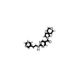 O=C(c1cnc(NCCc2cncnc2)nc1)N1CCC2(CCOCC2)C1